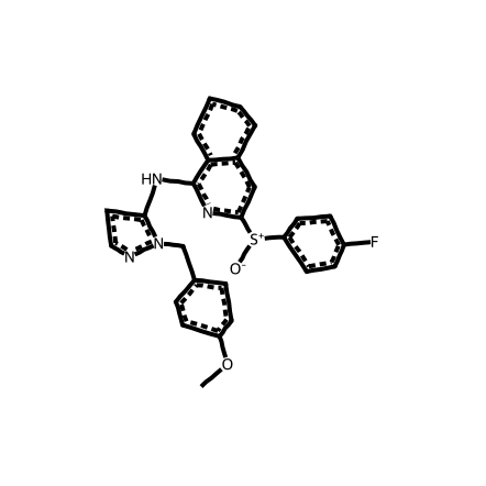 COc1ccc(Cn2nccc2Nc2nc([S+]([O-])c3ccc(F)cc3)cc3ccccc23)cc1